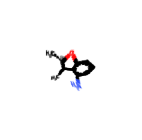 CC1c2c(N)cccc2O[C@H]1C